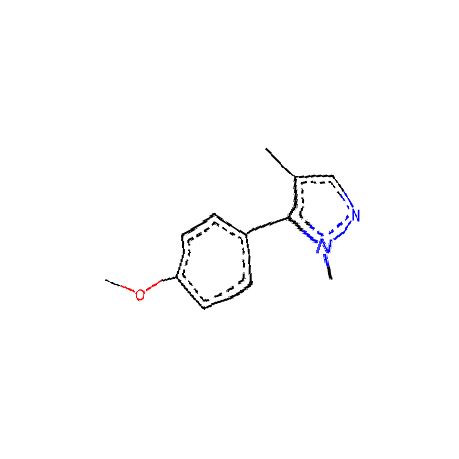 COc1ccc(-c2c(C)cnn2C)cc1